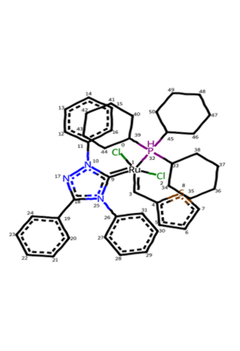 [Cl][Ru]([Cl])(=[CH]c1cccs1)(=[c]1n(-c2ccccc2)nc(-c2ccccc2)n1-c1ccccc1)[PH](C1CCCCC1)(C1CCCCC1)C1CCCCC1